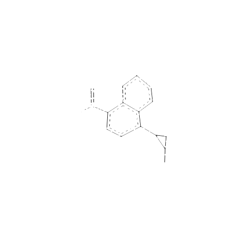 O=[N+]([O-])c1ccc(C2CC2F)c2ccccc12